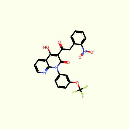 O=C(Cc1ccccc1[N+](=O)[O-])c1c(O)c2cccnc2n(-c2cccc(OC(F)(F)F)c2)c1=O